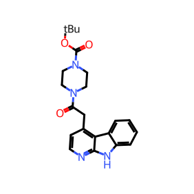 CC(C)(C)OC(=O)N1CCN(C(=O)Cc2ccnc3[nH]c4ccccc4c23)CC1